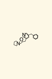 c1ccc(Cc2cnc3c(c2)CC(CN2CCCC2)O3)cc1